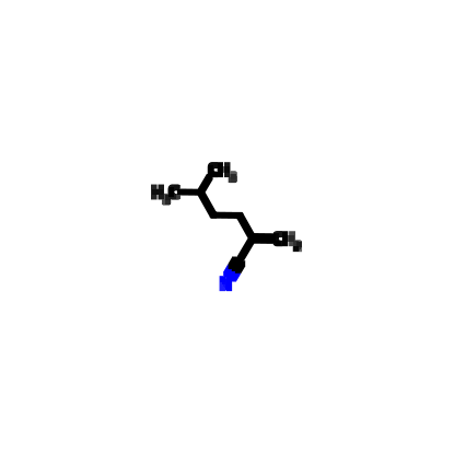 C=C(C#N)CCC(C)C